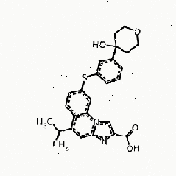 CC(C)c1cc2nc(C(=O)O)cn2c2cc(Sc3cccc(C4(O)CCOCC4)c3)ccc12